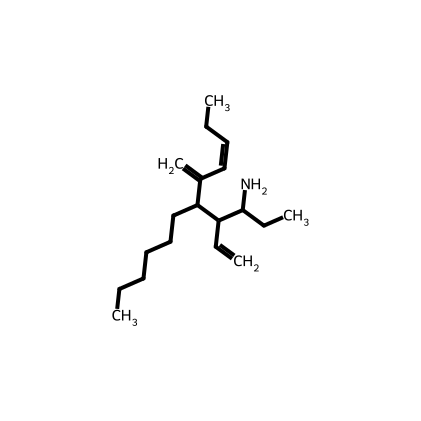 C=CC(C(N)CC)C(CCCCCC)C(=C)/C=C\CC